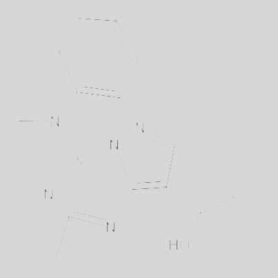 CCC(O)c1cnn2c(N(C)c3ccccc3)nc(C)nc12